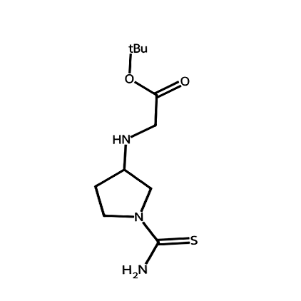 CC(C)(C)OC(=O)CNC1CCN(C(N)=S)C1